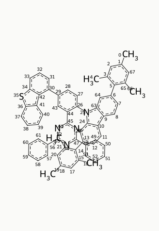 Cc1cc(C)c(-c2ccc3c4ccc(-c5c(C)cc(C)cc5C)cc4n(-c4ccc(-c5cccc6sc7ccccc7c56)cc4-c4nc(-c5ccccc5)nc(-c5ccccc5)n4)c3c2)c(C)c1